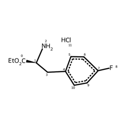 CCOC(=O)[C@@H](N)Cc1ccc(F)cc1.Cl